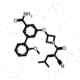 COc1ccccc1-c1cc(OC2CN(C(=O)/C(C#N)=C/C(C)C)C2)cc(C(N)=O)c1